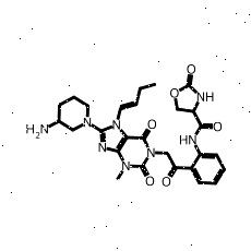 CCC=Cn1c(N2CCCC(N)C2)nc2c1c(=O)n(CC(=O)c1ccccc1NC(=O)C1COC(=O)N1)c(=O)n2C